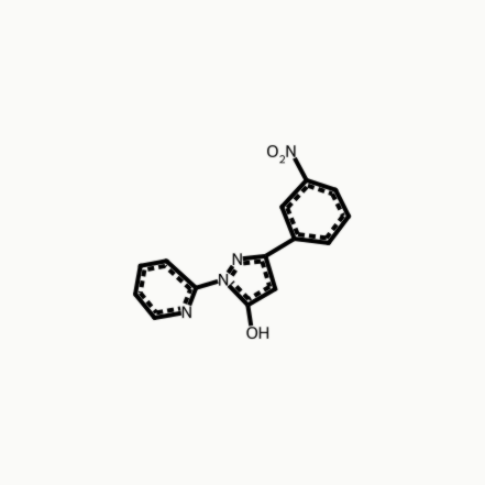 O=[N+]([O-])c1cccc(-c2cc(O)n(-c3ccccn3)n2)c1